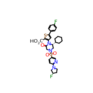 O=C(O)c1sc(-c2ccc(F)cc2)cc1N1C(=O)CN(S(=O)(=O)c2ccc(N3CC[C@H](F)C3)nc2)C[C@H]1C1CCCCC1